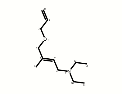 C=CCOCC(C)=CCN(CC)CC